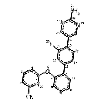 N#Cc1cccc(Oc2ccccc2-c2ccc(-c3cnc(N)nc3)c(F)c2)n1